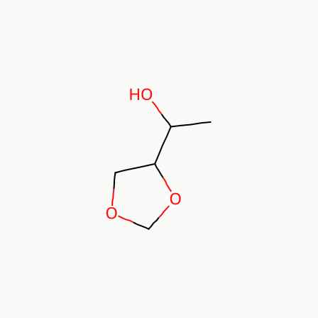 CC(O)C1COCO1